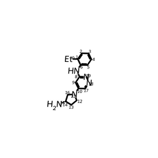 CCc1ccccc1Nc1cc(N2CC[C@@H](N)C2)cnn1